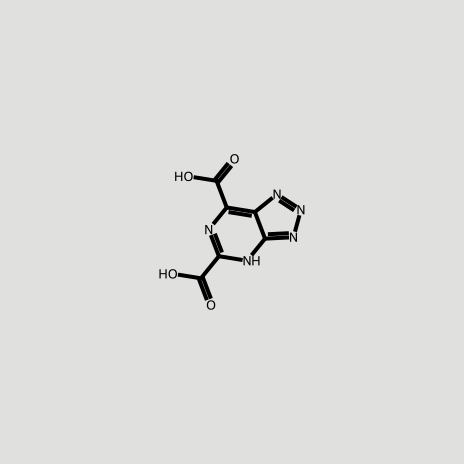 O=C(O)c1nc(C(=O)O)c2nnnc-2[nH]1